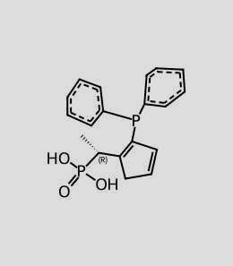 C[C@H](C1=C(P(c2ccccc2)c2ccccc2)C=CC1)P(=O)(O)O